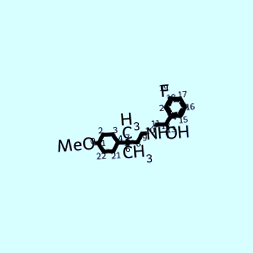 COC1CCC(C(C)(C)CCNC[C@H](O)c2cccc(F)c2)CC1